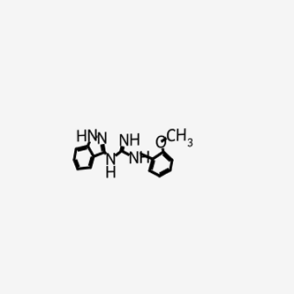 COc1ccccc1CNC(=N)Nc1n[nH]c2ccccc12